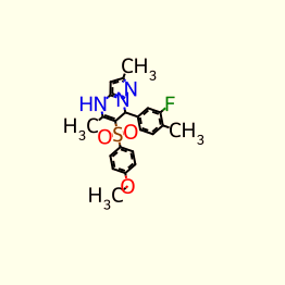 COc1ccc(S(=O)(=O)C2=C(C)Nc3cc(C)nn3C2c2ccc(C)c(F)c2)cc1